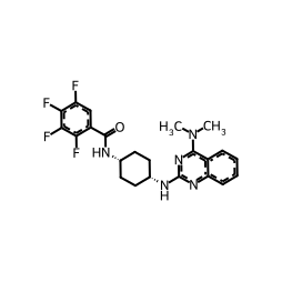 CN(C)c1nc(N[C@H]2CC[C@@H](NC(=O)c3cc(F)c(F)c(F)c3F)CC2)nc2ccccc12